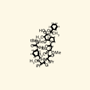 CC[C@H](C)[C@@H]([C@@H](CC(=O)N1CCCC1[C@H](OC)[C@@H](C)C(=O)NC(C)(C(=O)O)c1ccccc1)OC)N(C)C(=O)C(NC(=O)C(C(C)C)N(C)Cc1cccc(NC(=O)OC(C)(C)C)c1)C(C)C